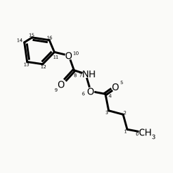 CCCCC(=O)ONC(=O)Oc1ccccc1